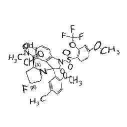 COc1ccc(S(=O)(=O)N2C(=O)C(c3cc(C)ccc3OC)(N3C[C@H](F)C[C@H]3C(=O)N(C)C)c3c2ccc(Cl)c3Cl)c(OC(F)(F)F)c1